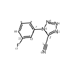 N#Cc1nnnn1-c1cccc(F)c1